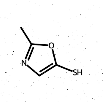 Cc1ncc(S)o1